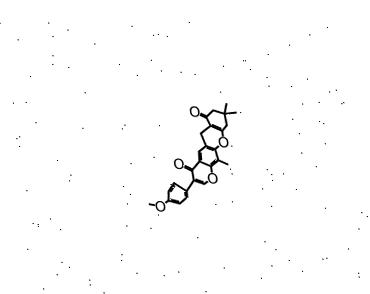 COc1ccc(-c2coc3c(C)c4c(cc3c2=O)CC2=C(CC(C)(C)CC2=O)O4)cc1